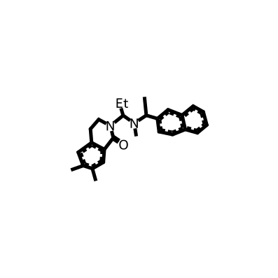 CCC(N1CCc2cc(C)c(C)cc2C1=O)N(C)C(C)c1ccc2ccccc2c1